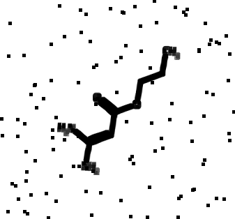 CCCOC(=O)C=C(N)N